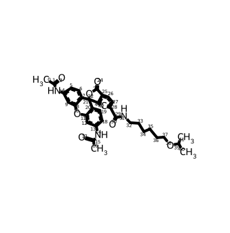 CC(=O)Nc1ccc2c(c1)Oc1cc(NC(C)=O)ccc1C21OC(=O)c2ccc(C(=O)NCCCCCCOC(C)C)cc21